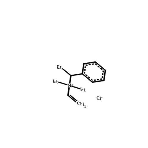 C=C[N+](CC)(CC)C(CC)c1ccccc1.[Cl-]